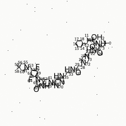 CC(C)C[C@H](NC(=O)[C@@H](O)[C@H](C)Cc1ccccc1)C(=O)NCCN1CCN(CCC(=O)NCCCNc2cc(N3CCC4(CC3)CN(c3cc(F)c(CN5CCC(C)(C)CC5)cc3F)CC(=O)N4)ncn2)CC1